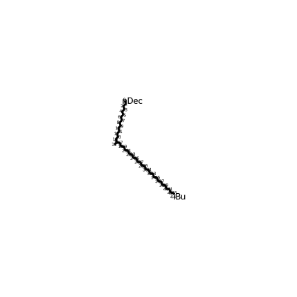 CCCCCCCCCCCCCCCCCCCCCCCCC(C)CCCCCCCCCCCCCCCCCCCCCCCCCCCC(C)CC